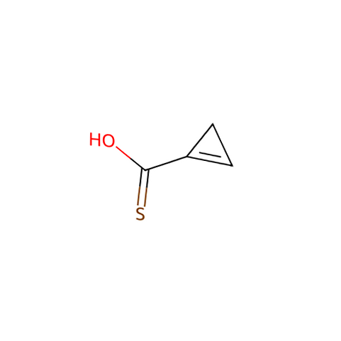 OC(=S)C1=CC1